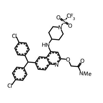 CNC(=O)COc1cc(NC2CCN(S(=O)(=O)C(F)(F)F)CC2)c2cc(C(c3ccc(Cl)cc3)c3ccc(Cl)cc3)ccc2n1